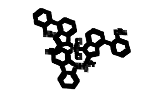 CCCCc1ccccc1-c1cccc2c1C=C(CCC)[CH]2[Hf]([Cl])([Cl])([c]1cccc2c1[SiH2]c1ccccc1-2)[CH]1C(CCC)=Cc2c(-c3ccccc3CCCC)cccc21